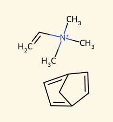 C1=CC2=CC=C1C2.C=C[N+](C)(C)C